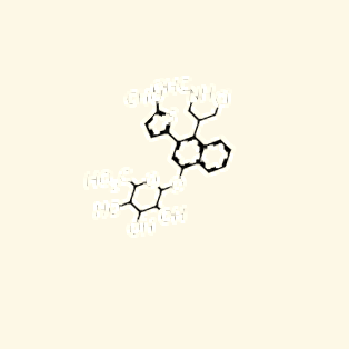 O=CNCC(CCl)c1c(-c2ccc(C=O)s2)cc(OC2OC(C(=O)O)C(O)C(O)C2O)c2ccccc12